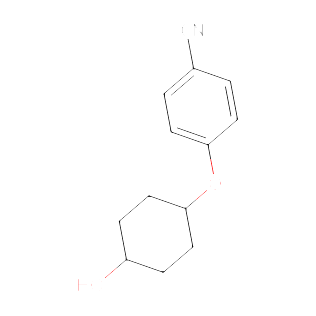 N#Cc1ccc(OC2CCC(O)CC2)cc1